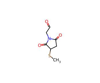 CSC1CC(=O)N(CC=O)C1=O